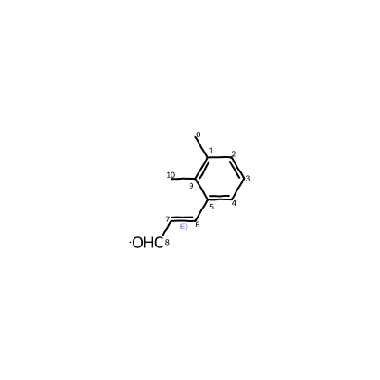 Cc1cccc(/C=C/[C]=O)c1C